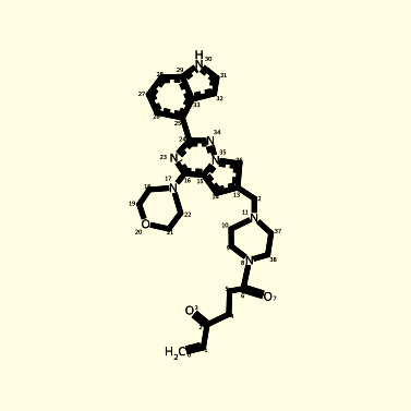 C=CC(=O)CCC(=O)N1CCN(Cc2cc3c(N4CCOCC4)nc(-c4cccc5[nH]ccc45)nn3c2)CC1